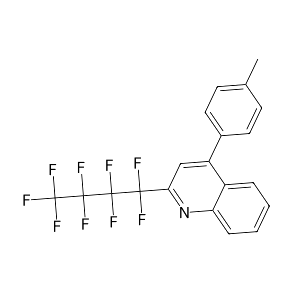 Cc1ccc(-c2cc(C(F)(F)C(F)(F)C(F)(F)C(F)(F)F)nc3ccccc23)cc1